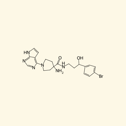 NC1(C(=O)NCCC(O)c2ccc(Br)cc2)CCN(c2ncnc3[nH]ccc23)CC1